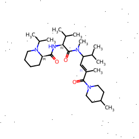 C/C(=C\C(C(C)C)N(C)C(=O)[C@@H](NC(=O)[C@H]1CCCCN1C(C)C)C(C)C)C(=O)N1CCC(C)CC1